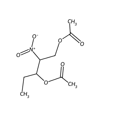 CCC(OC(C)=O)C(COC(C)=O)[N+](=O)[O-]